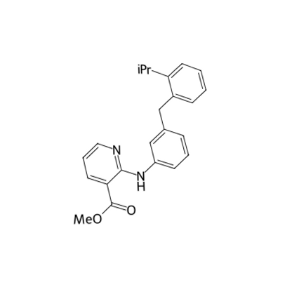 COC(=O)c1cccnc1Nc1cccc(Cc2ccccc2C(C)C)c1